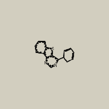 C1=CCC(c2ncnc3c2sc2ccccc23)C=C1